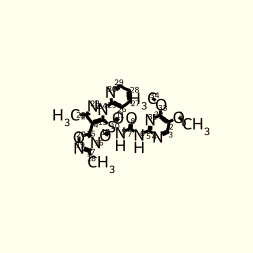 COc1cnc(NC(=O)NS(=O)(=O)c2c(-c3nc(C)no3)c(C)nn2-c2ccccn2)nc1OC